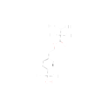 CC(C)C(C)(C)C(=O)OCCc1ccc(C(C)(C)O)cc1